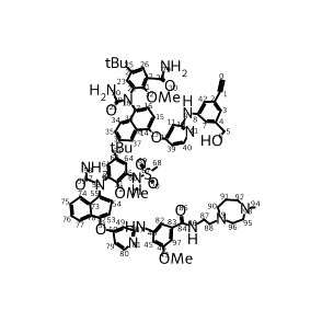 C#Cc1cc(CO)cc(Nc2cc(Oc3ccc(N(C(N)=O)c4cc(C(C)(C)C)cc(C(N)=O)c4OC)c4ccccc34)ccn2)c1.COc1cc(Nc2cc(Oc3ccc(N(C(N)=O)c4cc(C(C)(C)C)cc(NS(C)(=O)=O)c4OC)c4ccccc34)ccn2)cc(C(=O)NCCN2CCCN(C)CC2)c1